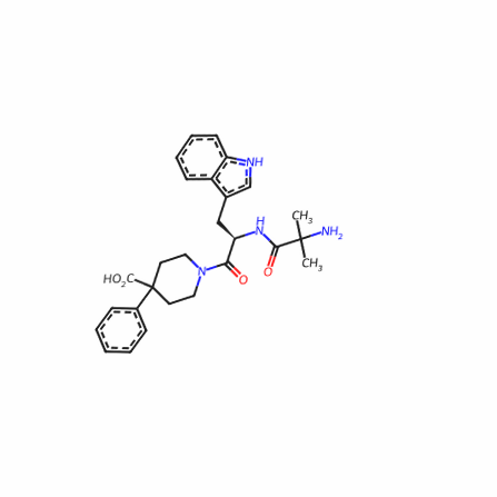 CC(C)(N)C(=O)N[C@H](Cc1c[nH]c2ccccc12)C(=O)N1CCC(C(=O)O)(c2ccccc2)CC1